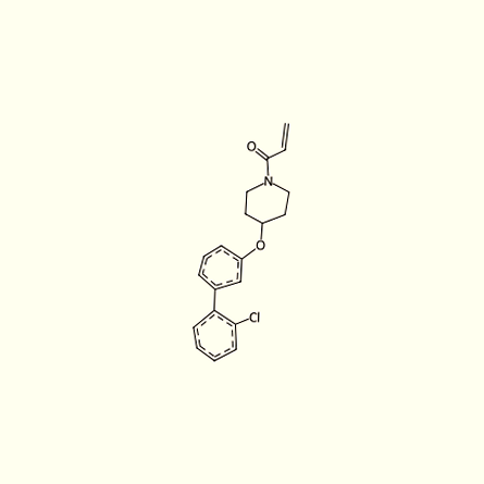 C=CC(=O)N1CCC(Oc2cccc(-c3ccccc3Cl)c2)CC1